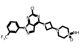 N=S1(=O)CCN(C2CN(c3nc(Cl)nc4c3cnn4-c3cccc(C(F)(F)F)c3)C2)CC1